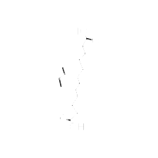 C=CC=C.O=C(O)CCCCCCCCCCC(=O)O